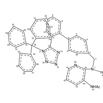 CCCN(Cc1ccc(-c2ccccc2-c2nnnn2C(c2ccccc2)(c2ccccc2)c2ccccc2)cc1)c1ncccc1NC(C)=O